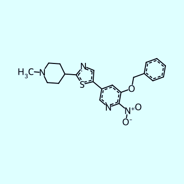 CN1CCC(c2ncc(-c3cnc([N+](=O)[O-])c(OCc4ccccc4)c3)s2)CC1